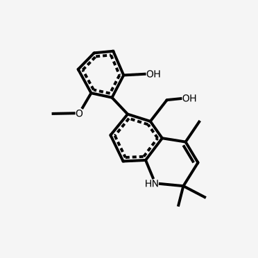 COc1cccc(O)c1-c1ccc2c(c1CO)C(C)=CC(C)(C)N2